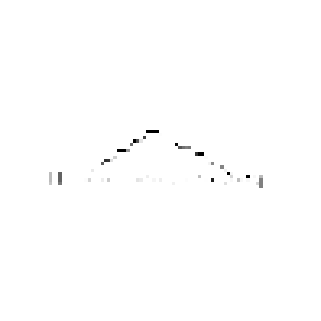 CCCCCCCC/C=C\CCCCCCCC(N)=O.OCCOCCOCCOCCOCCOCCOCCO